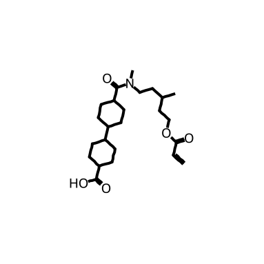 C=CC(=O)OCCC(C)CCN(C)C(=O)C1CCC(C2CCC(C(=O)O)CC2)CC1